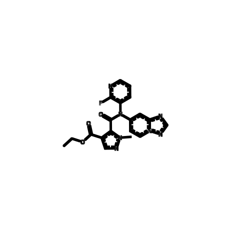 CCOC(=O)c1cnn(C)c1C(=O)N(c1ccn2ncnc2c1)c1cccnc1F